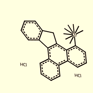 Cl.Cl.[CH3][Zr]([CH3])([CH3])([CH3])([CH3])([CH3])([CH3])([CH3])[c]1cccc2c1c1c(c3ccccc32)-c2ccccc2C1